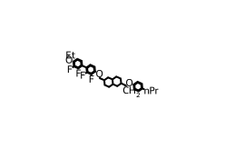 C=C(Oc1ccc(CCC)cc1)C1CCC2CC(COc3ccc(-c4ccc(OCC)c(F)c4F)c(F)c3F)CCC2C1